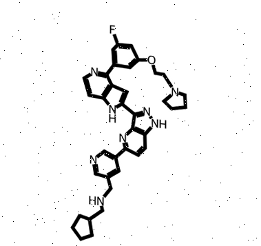 Fc1cc(OCCN2CCCC2)cc(-c2nccc3[nH]c(-c4n[nH]c5ccc(-c6cncc(CNCC7CCCC7)c6)nc45)cc23)c1